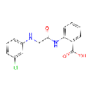 O=C(CNc1cccc(Cl)c1)Nc1ccccc1C(=O)O